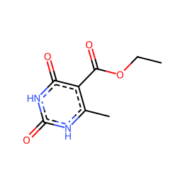 CCOC(=O)c1c(C)[nH]c(=O)[nH]c1=O